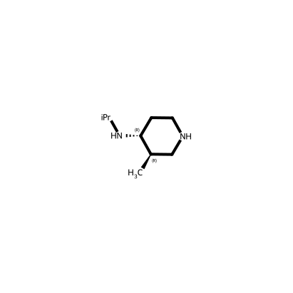 CC(C)N[C@@H]1CCNC[C@H]1C